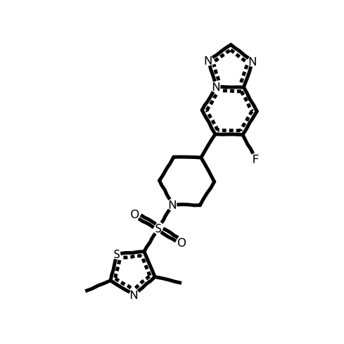 Cc1nc(C)c(S(=O)(=O)N2CCC(c3cn4ncnc4cc3F)CC2)s1